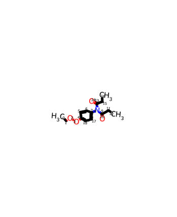 CCOOc1ccc(N(C(=O)CC)C(=O)CC)cc1